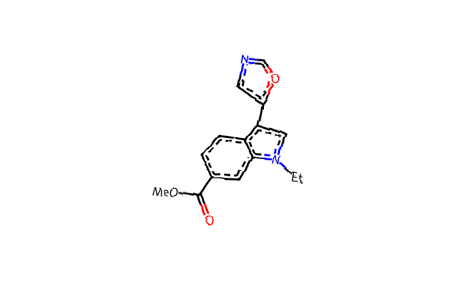 CCn1cc(-c2cnco2)c2ccc(C(=O)OC)cc21